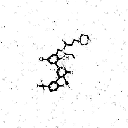 CCCN(Cc1cc(Cl)cc(-c2cc(-c3cc(C(F)(F)F)ccc3Cl)c(C#N)c(=O)[nH]2)c1O)C(=O)CCN1CCOCC1